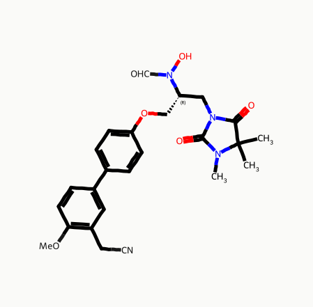 COc1ccc(-c2ccc(OC[C@@H](CN3C(=O)N(C)C(C)(C)C3=O)N(O)C=O)cc2)cc1CC#N